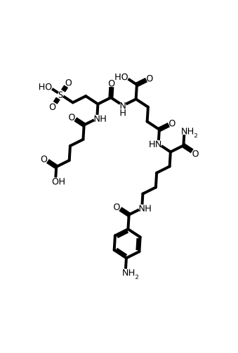 NC(=O)C(CCCCNC(=O)c1ccc(N)cc1)NC(=O)CCC(NC(=O)C(CCS(=O)(=O)O)NC(=O)CCCC(=O)O)C(=O)O